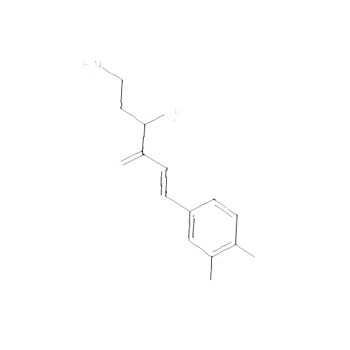 NCCC(O)C(=O)C=Cc1ccc(Cl)c(Cl)c1